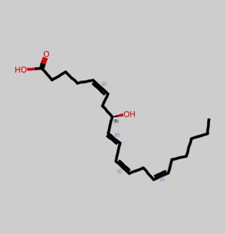 CCCCC/C=C\C/C=C\C=C\[C@H](O)C/C=C\CCCC(=O)O